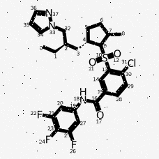 CC[C@H](C[C@@H]1CCC(C)C1S(=O)(=O)c1cc(C(=O)Nc2cc(F)c(F)c(F)c2)ccc1Cl)Cn1cccn1